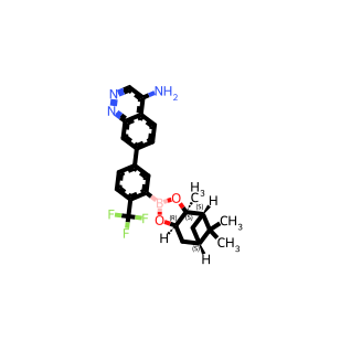 CC1(C)[C@@H]2C[C@H]3OB(c4cc(-c5ccc6c(N)cnnc6c5)ccc4C(F)(F)F)O[C@@]3(C)[C@H]1C2